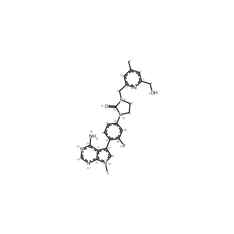 Cc1cc(CO)nc(CN2CCN(c3ccc(-c4cn(C)c5ncnc(N)c45)c(F)c3)C2=O)c1